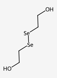 OCC[Se][Se]CCO